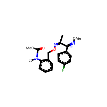 CCN(C(=O)OC)c1ccccc1CON=C(C)/C(=N\OC)c1ccc(F)cc1